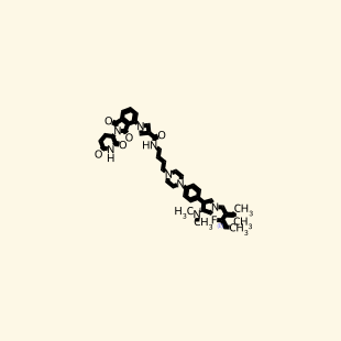 C/C=C(/F)C(CN1CC(c2ccc(N3CCN(CCCCNC(=O)C4CN(c5cccc6c5C(=O)N(C5CCC(=O)NC5=O)C6=O)C4)CC3)cc2)[C@@H](N(C)C)C1)=C(C)C